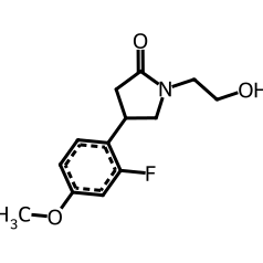 COc1ccc(C2CC(=O)N(CCO)C2)c(F)c1